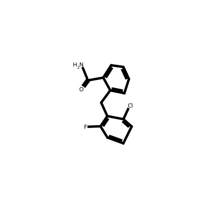 NC(=O)c1ccccc1Cc1c(F)cccc1Cl